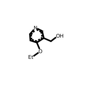 CCOc1ccn[c]c1CO